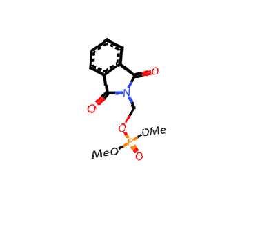 COP(=O)(OC)OCN1C(=O)c2ccccc2C1=O